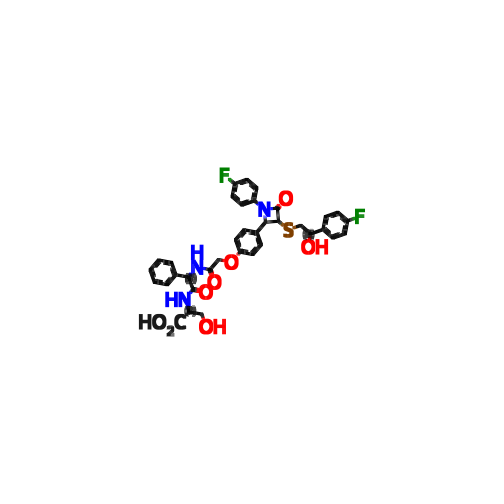 O=C(COc1ccc(C2C(SC[C@H](O)c3ccc(F)cc3)C(=O)N2c2ccc(F)cc2)cc1)N[C@@H](C(=O)N[C@H](CO)C(=O)O)c1ccccc1